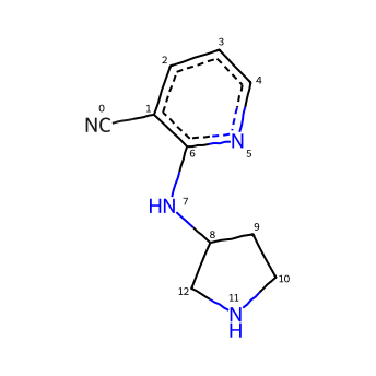 N#Cc1cccnc1NC1CCNC1